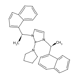 C[C@@H](c1cccc2ccccc12)N1C=CN([C@@H](C)c2cccc3ccccc23)P1N1CCCC1